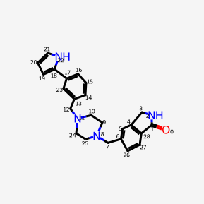 O=C1NCc2cc(CN3CCN(Cc4cccc(-c5ccc[nH]5)c4)CC3)ccc21